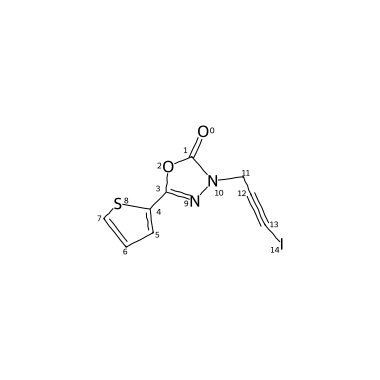 O=c1oc(-c2cccs2)nn1CC#CI